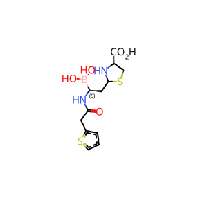 O=C(Cc1cccs1)N[C@H](CC1NC(C(=O)O)CS1)B(O)O